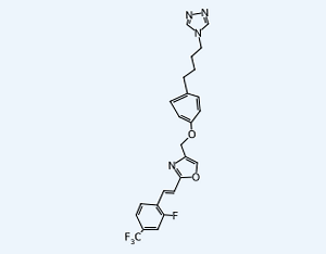 Fc1cc(C(F)(F)F)ccc1/C=C/c1nc(COc2ccc(CCCCn3cnnc3)cc2)co1